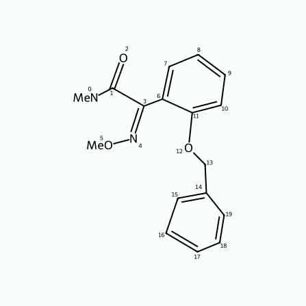 CNC(=O)C(=NOC)c1ccccc1OCc1ccccc1